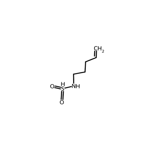 C=CCCCN[SH](=O)=O